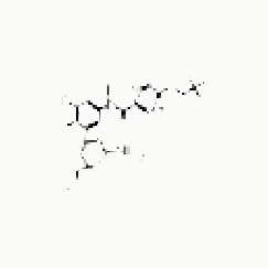 COC[C@@]1(C)C[C@@](C)(c2cc(NC(=O)c3cnc(OCC(C)(C)C)cn3)cc(F)c2F)N=C(N)S1